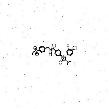 CCS(=O)(=O)c1ccc(CNC(=O)c2ccc(N3C(=O)[C@H](C(C)C)[C@H]3c3ccc(Cl)c(F)c3)cc2)cc1